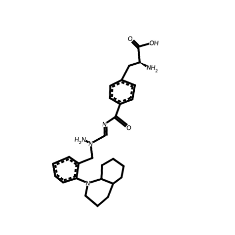 N[C@@H](Cc1ccc(C(=O)/N=C/N(N)Cc2ccccc2N2CCCC3CCCCC32)cc1)C(=O)O